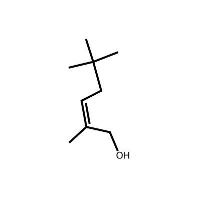 C/C(=C/CC(C)(C)C)CO